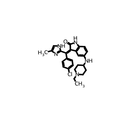 CCN1CCC(Nc2ccc3c(c2)/C(=C(\c2ccc(Cl)cc2)c2nc(C)c[nH]2)C(=O)N3)CC1